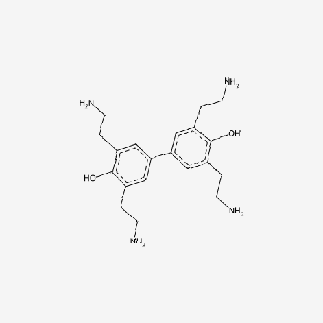 NCCc1cc(-c2cc(CCN)c(O)c(CCN)c2)cc(CCN)c1O